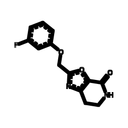 O=C1NCCc2nc(COc3cccc(F)c3)oc21